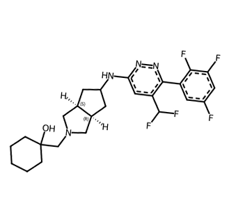 OC1(CN2C[C@H]3CC(Nc4cc(C(F)F)c(-c5cc(F)cc(F)c5F)nn4)C[C@H]3C2)CCCCC1